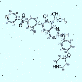 CC(C)n1c(=O)c(-c2ccc(S(=O)(=O)c3ccncc3)cc2F)cc2cnc(Nc3ccc(OC4CCNCC4)cc3)nc21